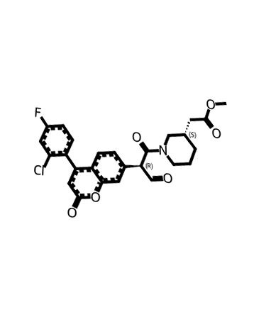 COC(=O)C[C@@H]1CCCN(C(=O)[C@@H](C=O)c2ccc3c(-c4ccc(F)cc4Cl)cc(=O)oc3c2)C1